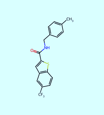 Cc1ccc(CNC(=O)c2cc3cc(C(F)(F)F)ccc3s2)cc1